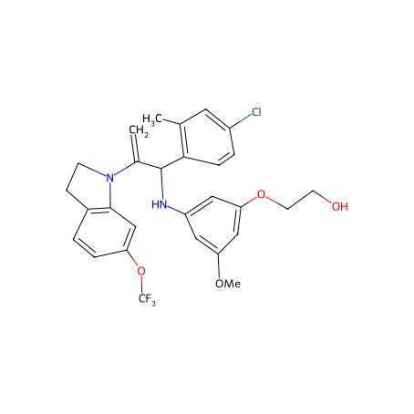 C=C(C(Nc1cc(OC)cc(OCCO)c1)c1ccc(Cl)cc1C)N1CCc2ccc(OC(F)(F)F)cc21